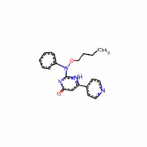 CCCCON(c1ccccc1)c1nc(=O)cc(-c2ccncc2)[nH]1